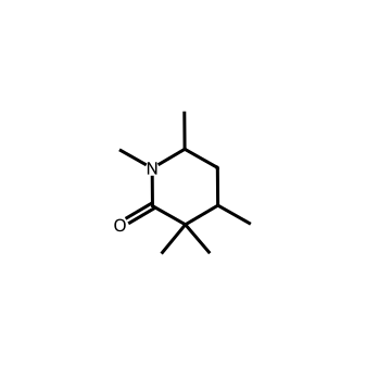 CC1CC(C)C(C)(C)C(=O)N1C